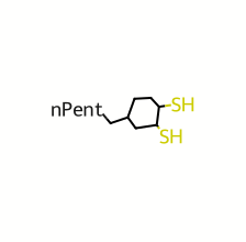 CCCCCCC1CCC(S)C(S)C1